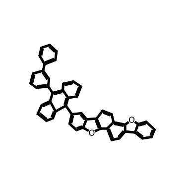 c1ccc(-c2cccc(-c3c4ccccc4c(-c4ccc5oc6c(ccc7c6ccc6c8ccccc8oc67)c5c4)c4ccccc34)c2)cc1